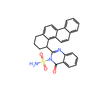 NS(=O)(=O)n1c(C2CCCc3ccc4c(ccc5ccccc54)c32)nc2ccccc2c1=O